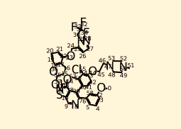 COc1cccc(-c2ncc3snc(O[C@H](Cc4ccccc4OCc4ccnn4CC(F)(F)F)C(=O)O)c3c2-c2ccc(OCCN3CCN(C)CC3)c(Cl)c2C)c1